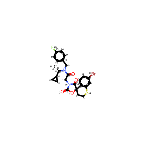 O=C1OC2(CCSc3cc(Br)ccc32)C(=O)N1CC(=O)N(Cc1ccc(F)cc1)[C@@H](C1CC1)C(F)(F)F